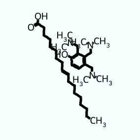 CCCCCCCCC=CCCCCCCCC(=O)O.CN(C)Cc1ccc(O)c(CN(C)C)c1CN(C)C